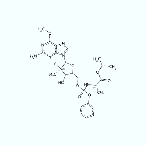 COc1nc(N)nc2c1ncn2C1OC(COP(=O)(N[C@@H](C)C(=O)OC(C)C)Oc2ccccc2)C(O)[C@@]1(C)F